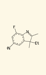 CCC1(C)C(C)=Nc2c(F)cc([N])cc21